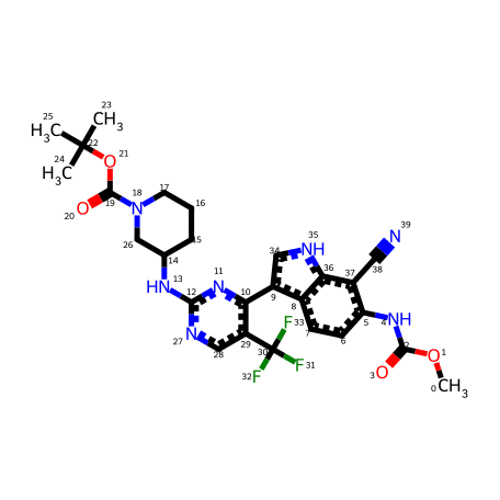 COC(=O)Nc1ccc2c(-c3nc(NC4CCCN(C(=O)OC(C)(C)C)C4)ncc3C(F)(F)F)c[nH]c2c1C#N